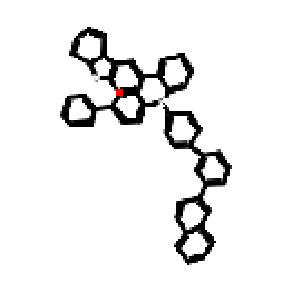 C1=CC2Oc3ccc(-c4ccccc4N(c4ccc(-c5ccccc5)cc4)c4ccc(-c5cccc(-c6ccc7ccccc7c6)c5)cc4)cc3C2C=C1